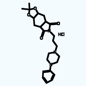 CC1(C)OC2CC3C(=O)N(CCCN4CCN(c5ccccc5)CC4)C(=O)C3CC2O1.Cl